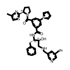 Cc1csc([C@H]2CCCN2C(=O)c2cc(C(=O)N[C@@H](Cc3ccccc3)[C@@H](O)CNCc3cncc(C(C)C)c3)cc(-n3cccc3)c2)n1